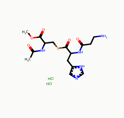 COC(=O)C(CSC(=O)C(Cc1cnc[nH]1)NC(=O)CCN)NC(C)=O.Cl.Cl